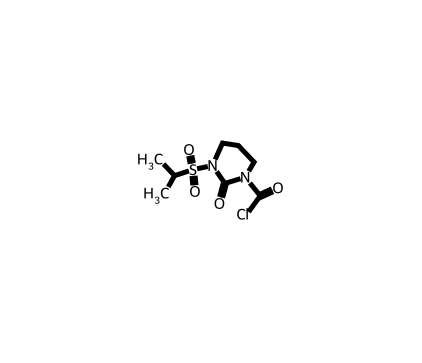 CC(C)S(=O)(=O)N1CCCN(C(=O)Cl)C1=O